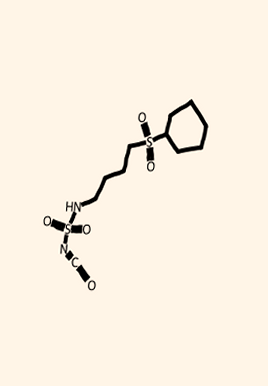 O=C=NS(=O)(=O)NCCCCS(=O)(=O)C1CCCCC1